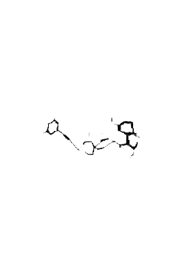 COc1ccc2ncc(CO)c([C@@H](F)CCC3(C(=O)O)CCN(CC#Cc4cc(F)c(F)c(F)c4)CC3)c2c1